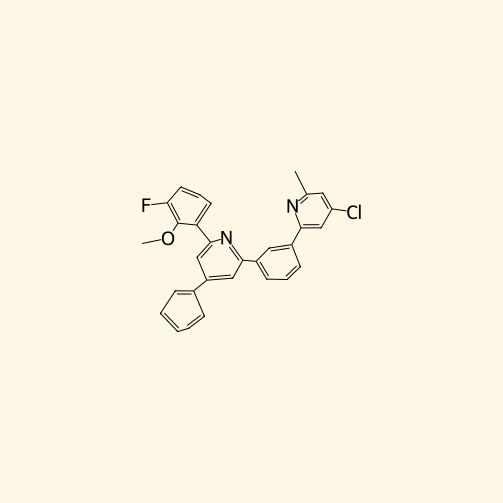 COc1c(F)cccc1-c1cc(-c2ccccc2)cc(-c2cccc(-c3cc(Cl)cc(C)n3)c2)n1